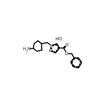 Cl.NC1CCC(Cn2cc(C(=O)OCc3ccccc3)cn2)CC1